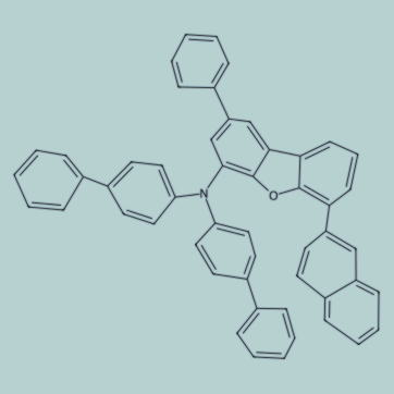 c1ccc(-c2ccc(N(c3ccc(-c4ccccc4)cc3)c3cc(-c4ccccc4)cc4c3oc3c(-c5ccc6ccccc6c5)cccc34)cc2)cc1